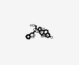 C[C@]12CCC(=O)C=C1CC[C@@H]1[C@@H]2[C@@H](O)C[C@@]2(C)[C@H]1CC[C@]2(OCC(Cc1ccccc1)=NO)C(=O)CO